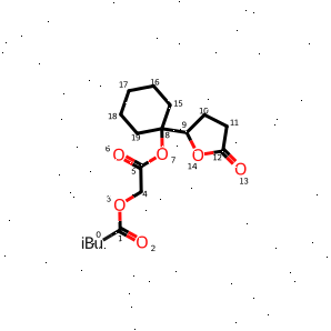 CCC(C)C(=O)OCC(=O)OC1(C2CCC(=O)O2)CCCCC1